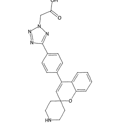 O=C(O)Cn1nnc(-c2ccc(C3=CC4(CCNCC4)Oc4ccccc43)cc2)n1